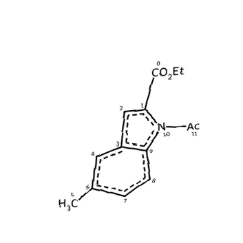 CCOC(=O)c1cc2cc(C)ccc2n1C(C)=O